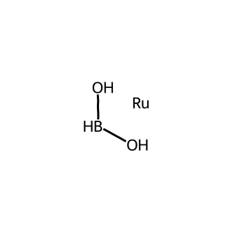 OBO.[Ru]